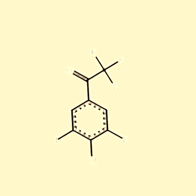 O=C(c1cc(F)c(Cl)c(I)c1)C(F)(F)F